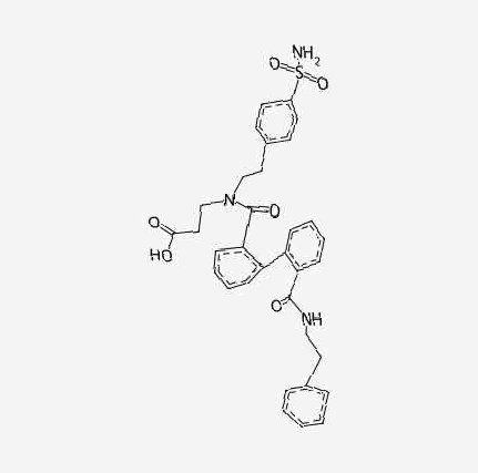 NS(=O)(=O)c1ccc(CCN(CCC(=O)O)C(=O)c2ccccc2-c2ccccc2C(=O)NCCc2ccccc2)cc1